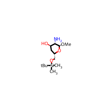 CO[C@@H]1O[C@H](CO[Si](C)(C)C(C)(C)C)C[C@@H](O)[C@@H]1N